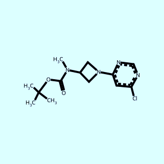 CN(C(=O)OC(C)(C)C)C1CN(c2cc(Cl)ncn2)C1